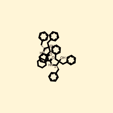 O=C(N[C@H](Cc1ccccc1)C(O)(Cc1ccccc1)Cc1ccccc1)C1(C(=O)N[C@H](Cc2ccccc2)C(O)(Cc2ccccc2)Cc2ccccc2)CCCCC1